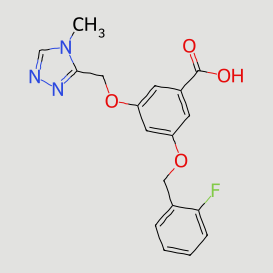 Cn1cnnc1COc1cc(OCc2ccccc2F)cc(C(=O)O)c1